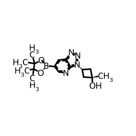 CC1(C)OB(c2cnc3c(c2)nnn3[C@H]2C[C@@](C)(O)C2)OC1(C)C